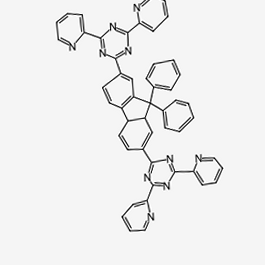 C1=CC2c3ccc(-c4nc(-c5ccccn5)nc(-c5ccccn5)n4)cc3C(c3ccccc3)(c3ccccc3)C2C=C1c1nc(-c2ccccn2)nc(-c2ccccn2)n1